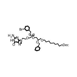 CCCCCCCCCCCCCCCCCCOCC(COP(=O)(COCCn1cnc2c(=O)[nH]c(N)nc21)OCc1cccc(Br)c1)OCc1ccccc1